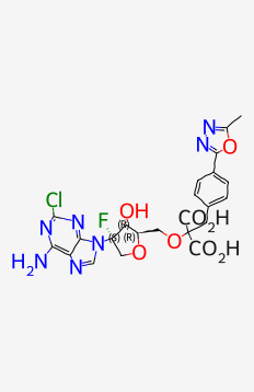 Cc1nnc(-c2ccc(CC(OC[C@H]3OC[C@@](F)(n4cnc5c(N)nc(Cl)nc54)[C@@H]3O)(C(=O)O)C(=O)O)cc2)o1